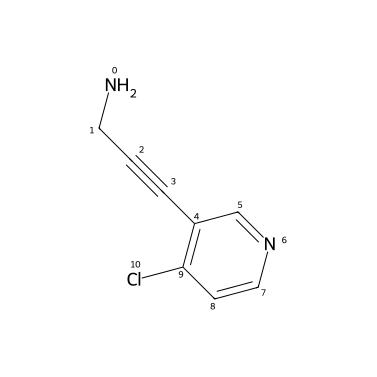 NCC#Cc1cnccc1Cl